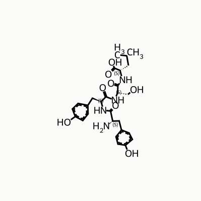 CC(C)C[C@H](NC(=O)[C@H](CO)NC(=O)[C@H](Cc1ccc(O)cc1)NC(=O)[C@@H](N)Cc1ccc(O)cc1)C(=O)O